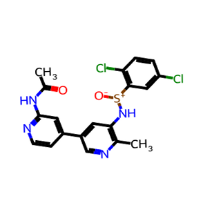 CC(=O)Nc1cc(-c2cnc(C)c(N[S+]([O-])c3cc(Cl)ccc3Cl)c2)ccn1